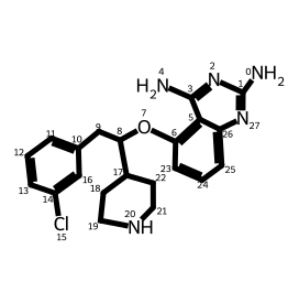 Nc1nc(N)c2c(OC(Cc3cccc(Cl)c3)C3CCNCC3)cccc2n1